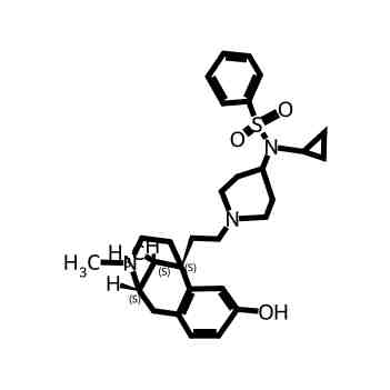 C[C@@H]1[C@@H]2Cc3ccc(O)cc3[C@@]1(CCN1CCC(N(C3CC3)S(=O)(=O)c3ccccc3)CC1)CCN2C